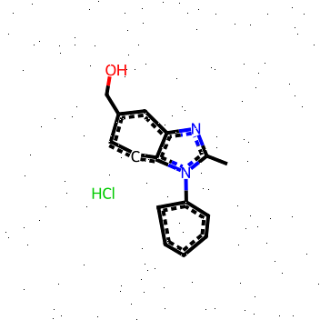 Cc1nc2cc(CO)ccc2n1-c1ccccc1.Cl